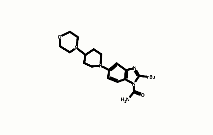 CCCCc1nc2cc(N3CCC(N4CCOCC4)CC3)ccc2n1C(N)=O